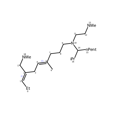 CC/C=C(\C/C=C(\C)CCCN(CCNC)C(CCCCC)C(C)C)CNC